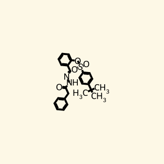 CC(C)(C)c1ccc(S(=O)(=O)Oc2ccccc2C=NNC(=O)Cc2ccccc2)cc1